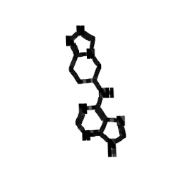 c1nc(NC2CCc3nncn3C2)c2nc[nH]c2n1